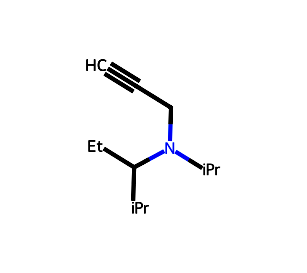 C#CCN(C(C)C)C(CC)C(C)C